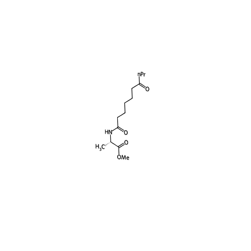 CCCC(=O)CCCCCC(=O)N[C@@H](C)C(=O)OC